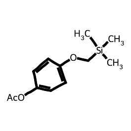 CC(=O)Oc1ccc(OC[Si](C)(C)C)cc1